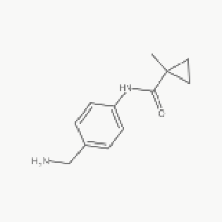 CC1(C(=O)Nc2ccc(CN)cc2)CC1